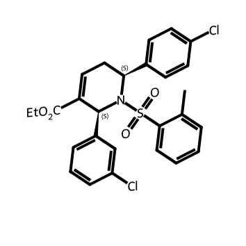 CCOC(=O)C1=CC[C@@H](c2ccc(Cl)cc2)N(S(=O)(=O)c2ccccc2C)[C@H]1c1cccc(Cl)c1